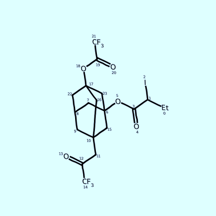 CCC(I)C(=O)OC12CC3CC(CC(=O)C(F)(F)F)(C1)CC(OC(=O)C(F)(F)F)(C3)C2